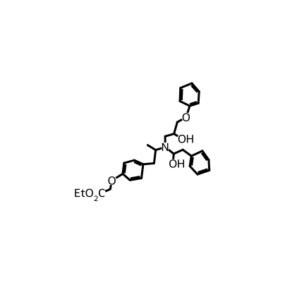 CCOC(=O)COc1ccc(CC(C)N(CC(O)COc2ccccc2)C(O)Cc2ccccc2)cc1